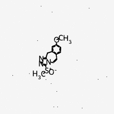 COc1ccc2c(c1)Cc1nnc([S+](C)[O-])n1C=C2